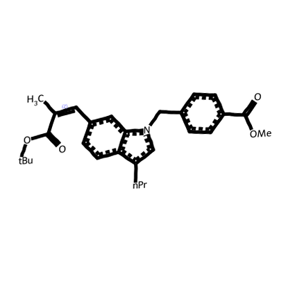 CCCc1cn(Cc2ccc(C(=O)OC)cc2)c2cc(/C=C(/C)C(=O)OC(C)(C)C)ccc12